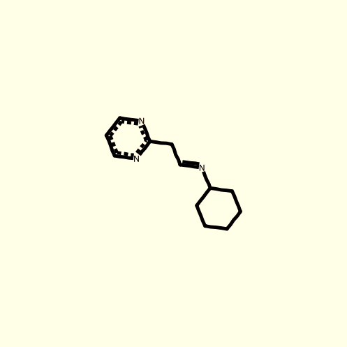 C(Cc1ncccn1)=NC1CCCCC1